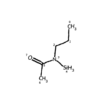 CCCN([SiH3])C(C)=O